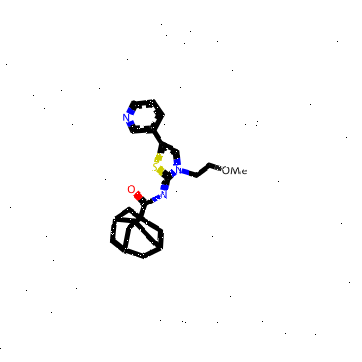 COCCn1cc(-c2cccnc2)s/c1=N\C(=O)C12CC3CC(CC(C3)C1)C2